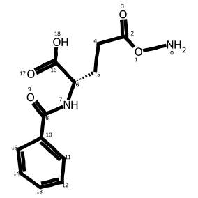 NOC(=O)CC[C@H](NC(=O)c1ccccc1)C(=O)O